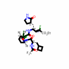 CCOC(=O)/C(F)=C/[C@@H](C[C@@H]1CCNC1=O)NC(=O)[C@H]1[C@@H]2CC[C@@H](CC2(F)F)N1C(=O)[C@H](CC1CCC1)NC(=O)C(F)(F)F